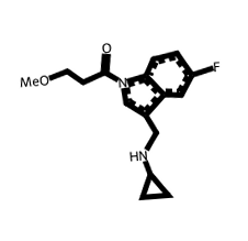 COCCC(=O)n1cc(CNC2CC2)c2cc(F)ccc21